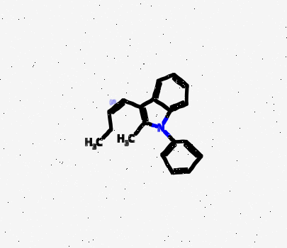 CC/C=C\c1c(C)n(-c2ccccc2)c2ccccc12